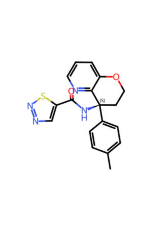 Cc1ccc([C@@]2(NC(=O)c3cnns3)CCOc3cccnc32)cc1